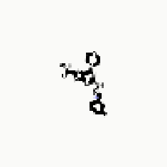 CNC(=O)c1nc2nc(N/N=C/c3cccc(C)c3)nc(N3CCOCC3)c2s1